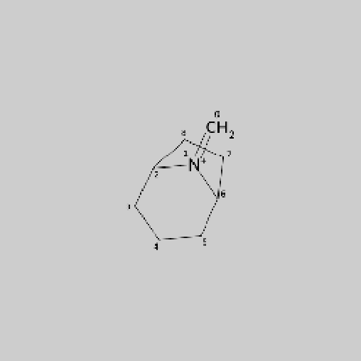 C=[N+]1C2CCCC1CC2